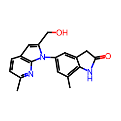 Cc1ccc2cc(CO)n(-c3cc(C)c4c(c3)CC(=O)N4)c2n1